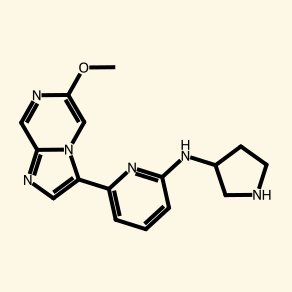 COc1cn2c(-c3cccc(NC4CCNC4)n3)cnc2cn1